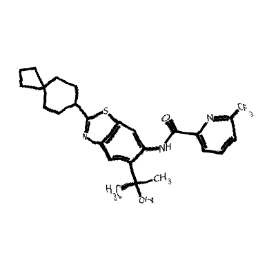 CC(C)(O)c1cc2nc(C3CCC4(CCC4)CC3)sc2cc1NC(=O)c1cccc(C(F)(F)F)n1